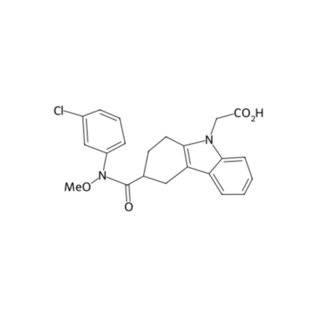 CON(C(=O)C1CCc2c(c3ccccc3n2CC(=O)O)C1)c1cccc(Cl)c1